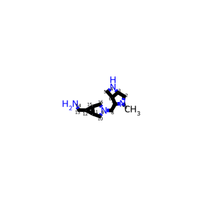 CN1CC2NCC2C1CN1CC2C(CN)C2C1